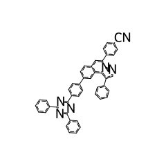 N#Cc1ccc(-c2cc3ccc(-c4ccc(-c5nc(-c6ccccc6)nc(-c6ccccc6)n5)cc4)cc3c3c(-c4ccccc4)cnn23)cc1